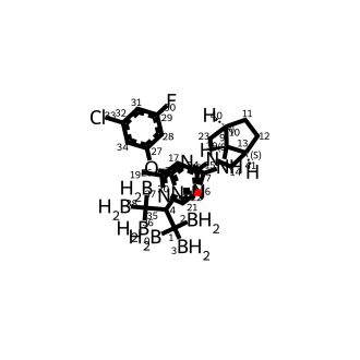 BC(B)(B)C(n1nc(N[C@@H]2[C@@H]3CC[C@H]2CN(c2cc(C)ncn2)C3)nc1Oc1cc(F)cc(Cl)c1)C(B)(B)B